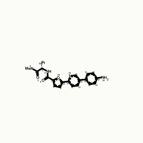 CNC(=O)[C@@H](NC(=O)c1ccc(-c2ccc(-c3ccc(N)cc3)cn2)o1)C(C)C